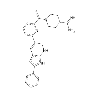 N=C(N)N1CCN(C(=S)c2cccc(C3=Cc4cc(-c5ccccc5)[nH]c4NC3)n2)CC1